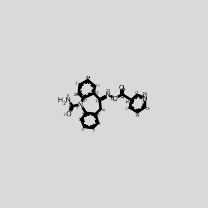 NC(=O)N1c2ccccc2CC(=NOC(=O)c2cccnc2)c2ccccc21